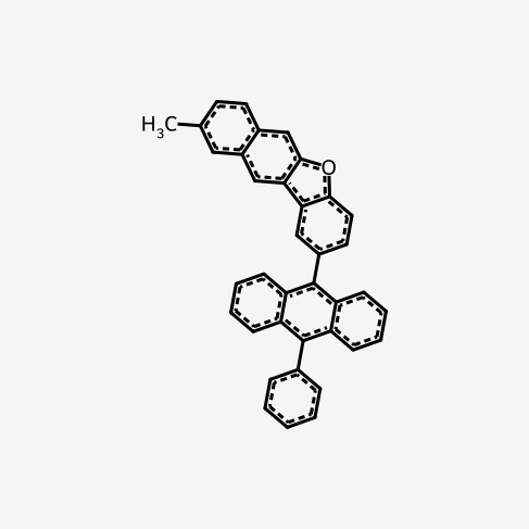 Cc1ccc2cc3oc4ccc(-c5c6ccccc6c(-c6ccccc6)c6ccccc56)cc4c3cc2c1